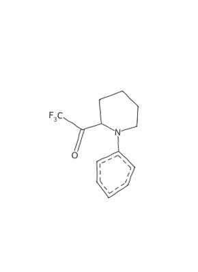 O=C(C1CCCCN1c1ccccc1)C(F)(F)F